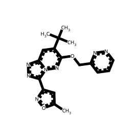 Cc1cc(-c2nnc3cc(C(C)(C)C)c(OCc4cccnn4)nn23)no1